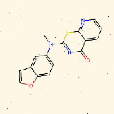 CN(c1ccc2occc2c1)c1nc(=O)c2cccnc2s1